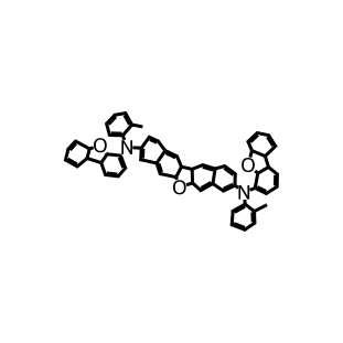 Cc1ccccc1N(C1=CC=CC2C1OC1C=CC=CC12)c1ccc2c(c1)=CC1OC3C=c4cc(N(C5=CC=CC6C5OC5C=CC=CC56)c5ccccc5C)ccc4=CC3C1C=2